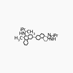 Cc1c(NC(C)C(C)C)c2ccc(-c3ccc4c5c(ccc4c3)-c3nc(C(C)C)[nH]c3CC5)cc2c2ccccc12